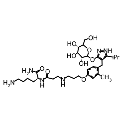 Cc1cc(OCCCNCCC(=O)N[C@@H](CCCCN)C(N)=O)ccc1Cc1c(OC2OC(CO)[C@@H](O)C(O)[C@H]2O)n[nH]c1C(C)C